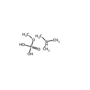 COP(=O)(O)O.C[SiH](C)C